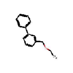 FC(F)(F)COCc1c[c]cc(-c2ccccc2)c1